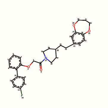 O=C(COc1ccccc1-c1ccc(F)cc1)N1CCC(CCc2ccc3c(c2)OCCCO3)CC1